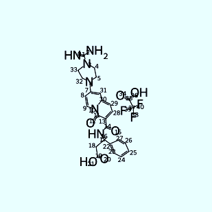 N=C(N)N1CCN(c2ccn3c(=O)c(C(=O)NC(CC(=O)O)c4ccccc4)ccc3c2)CC1.O=C(O)C(F)(F)F